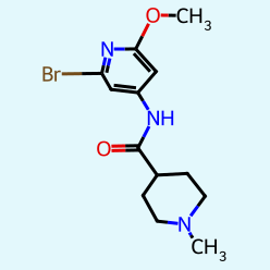 COc1cc(NC(=O)C2CCN(C)CC2)cc(Br)n1